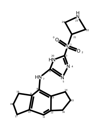 O=S(=O)(c1nnc(Nc2c3c(cc4c2CCC4)CCC3)[nH]1)C1CNC1